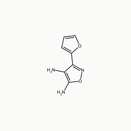 Nc1onc(-c2ccco2)c1N